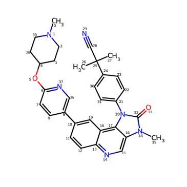 CN1CCC(Oc2ccc(-c3ccc4ncc5c(c4c3)n(-c3ccc(C(C)(C)C#N)cc3)c(=O)n5C)cn2)CC1